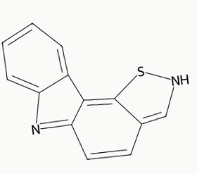 c1ccc2c(c1)nc1ccc3c[nH]sc3c12